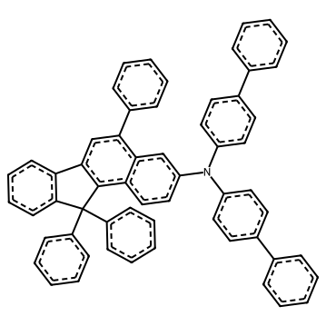 c1ccc(-c2ccc(N(c3ccc(-c4ccccc4)cc3)c3ccc4c5c(cc(-c6ccccc6)c4c3)-c3ccccc3C5(c3ccccc3)c3ccccc3)cc2)cc1